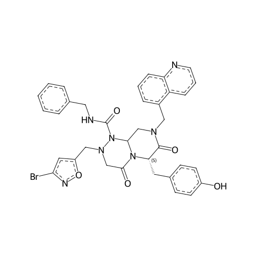 O=C1[C@H](Cc2ccc(O)cc2)N2C(=O)CN(Cc3cc(Br)no3)N(C(=O)NCc3ccccc3)C2CN1Cc1cccc2ncccc12